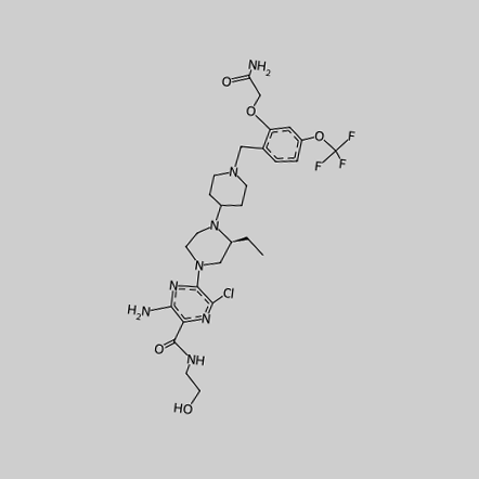 CC[C@H]1CN(c2nc(N)c(C(=O)NCCO)nc2Cl)CCN1C1CCN(Cc2ccc(OC(F)(F)F)cc2OCC(N)=O)CC1